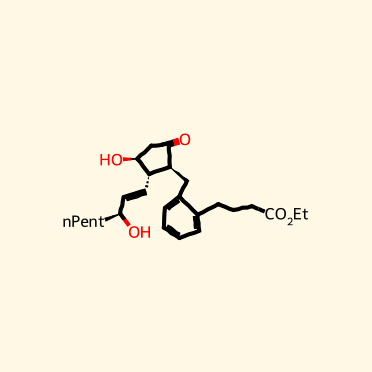 CCCCC[C@H](O)/C=C/[C@H]1[C@H](Cc2ccccc2CCCC(=O)OCC)C(=O)C[C@@H]1O